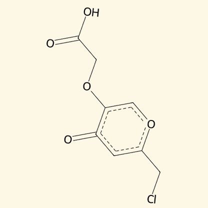 O=C(O)COc1coc(CCl)cc1=O